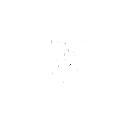 CCCC1OC(=O)O[C@H](C(C)(C)CC(CCS(=O)(=O)O)NC(C)=O)C(=O)O1